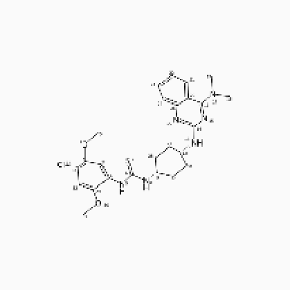 COc1cc(NC(=S)N[C@H]2CC[C@@H](Nc3nc(N(C)C)c4ccccc4n3)CC2)c(OC)cc1Cl